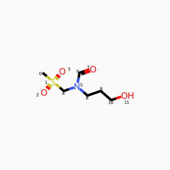 CS(=O)(=O)CN(C=O)CCCO